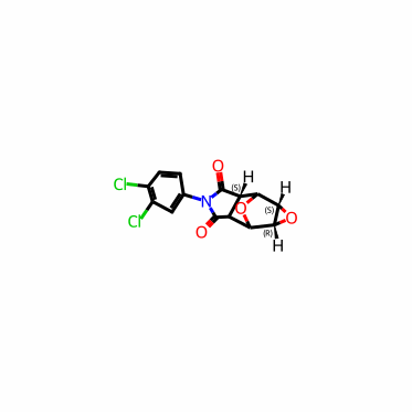 O=C1C2C3OC([C@H]2C(=O)N1c1ccc(Cl)c(Cl)c1)[C@@H]1O[C@H]31